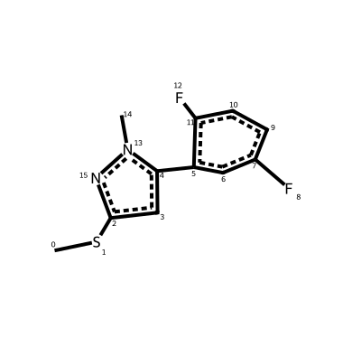 CSc1cc(-c2cc(F)ccc2F)n(C)n1